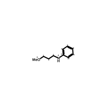 COCCCNc1ccccc1